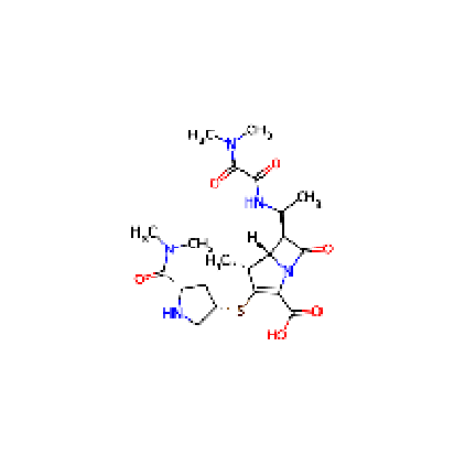 CC(NC(=O)C(=O)N(C)C)[C@H]1C(=O)N2C(C(=O)O)=C(S[C@@H]3CN[C@H](C(=O)N(C)C)C3)[C@H](C)[C@H]12